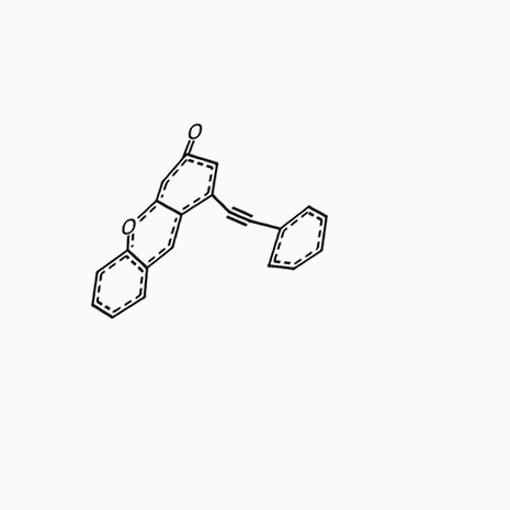 O=c1cc2oc3ccccc3cc-2c(C#Cc2ccccc2)c1